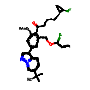 C=CC(F)OCc1cc(-c2cnn3cc(C(C)(C)C#N)ccc23)cc(OC)c1C(=O)CCC[C@H]1C[C@H]1F